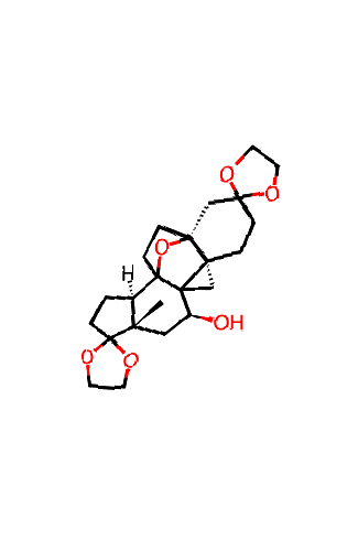 C[C@]12C[C@H](O)C34C[C@]35CCC3(C[C@]56CCC4(O6)[C@@H]1CCC21OCCO1)OCCO3